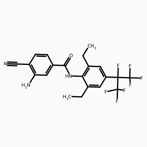 CCc1cc(C(F)(C(F)(F)F)C(F)(F)F)cc(CC)c1NC(=O)c1ccc(C#N)c(N)c1